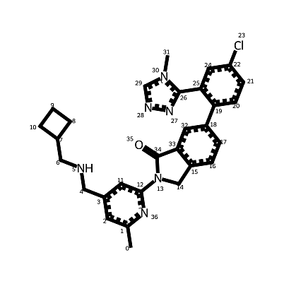 Cc1cc(CNCC2CCC2)cc(N2Cc3ccc(-c4ccc(Cl)cc4-c4nncn4C)cc3C2=O)n1